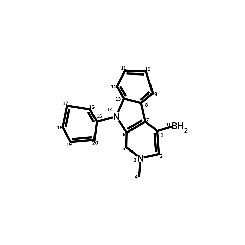 BC1=CN(C)Cc2c1c1ccccc1n2-c1ccccc1